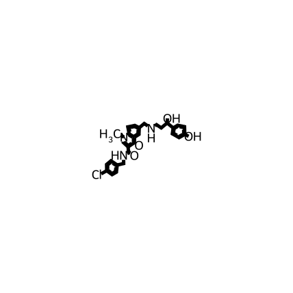 Cn1cc(C(=O)NCc2ccc(Cl)cc2)c(=O)c2cc(CNCCC(O)c3ccc(O)cc3)ccc21